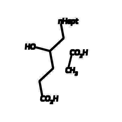 CC(=O)O.CCCCCCCCC(O)CCC(=O)O